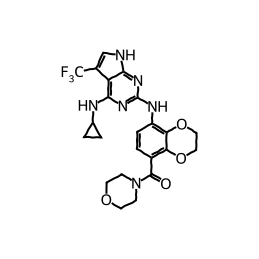 O=C(c1ccc(Nc2nc(NC3CC3)c3c(C(F)(F)F)c[nH]c3n2)c2c1OCCO2)N1CCOCC1